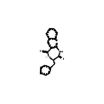 O=C1NC(Cc2ccccc2)C(=O)Nc2cc3ccccc3cc21